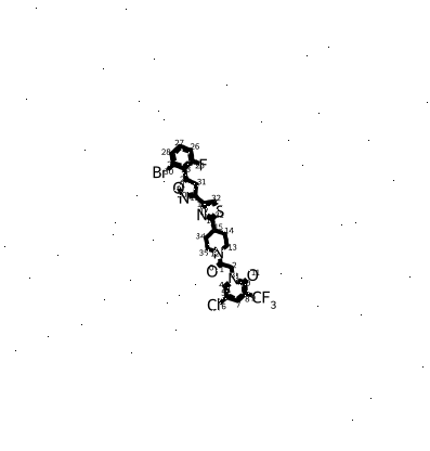 O=C(Cn1cc(Cl)cc(C(F)(F)F)c1=O)N1CCC(c2nc(C3=NOC(c4c(F)cccc4Br)C3)cs2)CC1